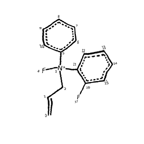 C=CC[N+](F)(c1ccccc1)c1ccc[c]c1F